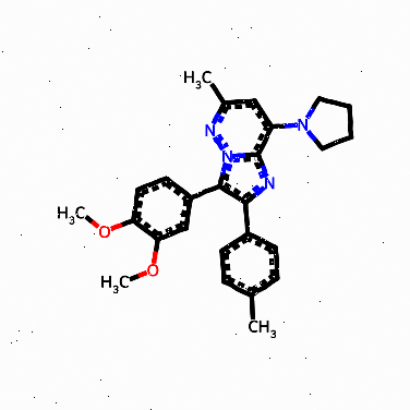 COc1ccc(-c2c(-c3ccc(C)cc3)nc3c(N4CCCC4)cc(C)nn23)cc1OC